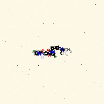 C[C@@H]1CN(Cc2ccc(-c3cccc(-n4c(=O)n([C@H]5CC[C@@H](NC(=O)c6cn7cc(F)ccc7n6)CC5)c(=O)c5cc(F)cnc54)c3)cc2)C[C@H](C)N1